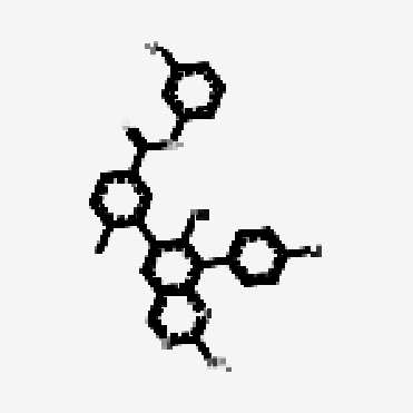 Cc1ccc(C(=O)Nc2cccc(C(F)(F)F)c2)cc1-c1cc2cnc(N)nc2c(-c2ccc(Cl)cc2)c1O